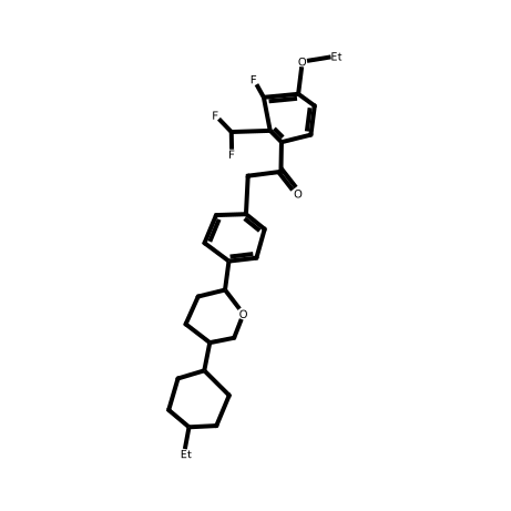 CCOc1ccc(C(=O)Cc2ccc(C3CCC(C4CCC(CC)CC4)CO3)cc2)c(C(F)F)c1F